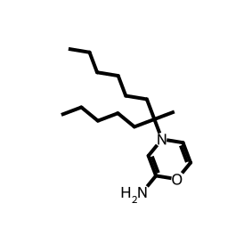 CCCCCCC(C)(CCCCC)N1C=COC(N)=C1